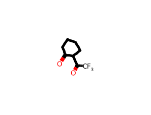 O=C1CCCCC1C(=O)C(F)(F)F